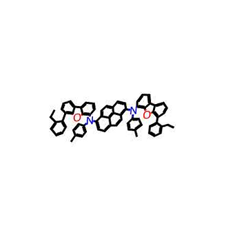 CCc1ccccc1-c1cccc2c1oc1c(N(c3ccc(C)cc3)c3ccc4ccc5c(N(c6ccc(C)cc6)c6cccc7c6oc6c(-c8ccccc8CC)cccc67)ccc6ccc3c4c65)cccc12